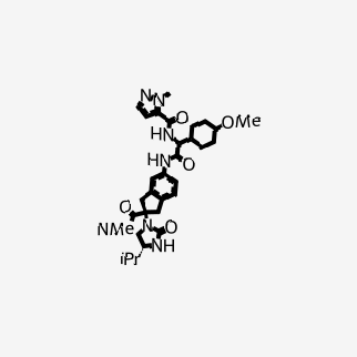 CNC(=O)C1(N2C[C@@H](C(C)C)NC2=O)Cc2ccc(NC(=O)C(NC(=O)c3ccnn3C)C3CCC(OC)CC3)cc2C1